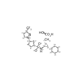 C[C@H]1[C@H](NS(=O)(=O)c2ccc(-n3ccc(C(F)(F)F)n3)s2)[C@H]1c1ccccc1.O=C(O)O